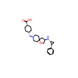 O=C(O)[C@H]1CC[C@H](CN2CCC3(CC2)CC(N[C@@H]2C[C@H]2c2ccccc2)CO3)CC1